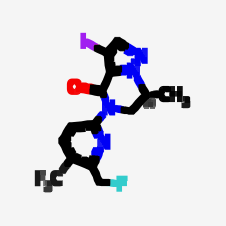 C[C@H]1CN(c2ccc(C(F)(F)F)c(CF)n2)C(=O)c2c(I)cnn21